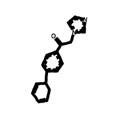 O=C(Cn1ccnc1)c1ccc(C2C=CC=CC2)cc1